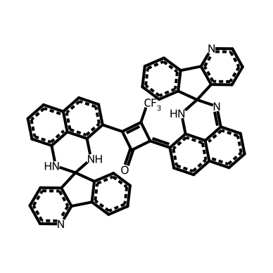 O=C1C(c2ccc3cccc4c3c2NC2(N4)c3ccccc3-c3ncccc32)=C(C(F)(F)F)/C1=c1/ccc2cccc3c2c1NC1(N=3)c2ccccc2-c2ncccc21